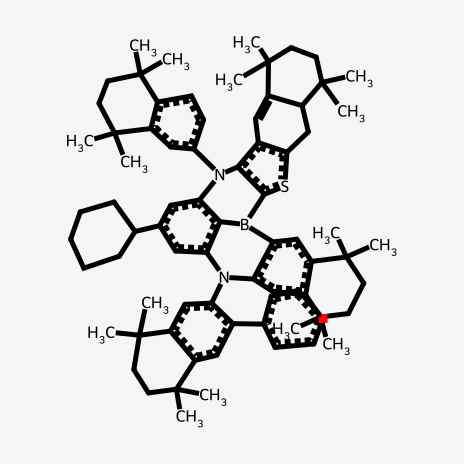 CC1(C)CCC(C)(C)C2Cc3sc4c(c3C=C21)N(c1ccc2c(c1)C(C)(C)CCC2(C)C)c1cc(C2CCCCC2)cc2c1B4c1cc3c(cc1N2c1cc2c(cc1-c1ccccc1)C(C)(C)CCC2(C)C)C(C)(C)CCC3(C)C